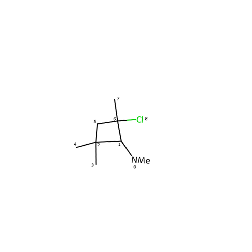 CNC1C(C)(C)CC1(C)Cl